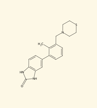 Cc1c(CN2CCSCC2)cccc1-c1ccc2[nH]c(=O)[nH]c2c1